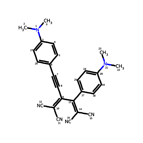 CN(C)c1ccc(C#CC(=C(C#N)C#N)C(=C(C#N)C#N)c2ccc(N(C)C)cc2)cc1